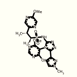 COc1cnc([C@@H](C)[C@H](C)S(=O)(=O)Nc2nnc(-c3ccn(C)n3)n2-c2c(OC)ncnc2OC)cn1